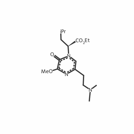 CCOC(=O)[C@H](CC(C)C)n1cc(CCN(C)C)nc(OC)c1=O